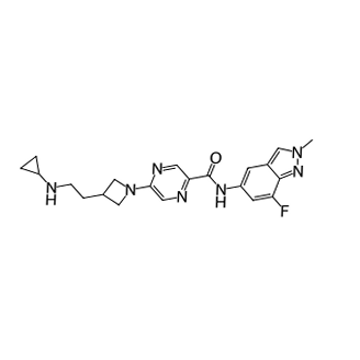 Cn1cc2cc(NC(=O)c3cnc(N4CC(CCNC5CC5)C4)cn3)cc(F)c2n1